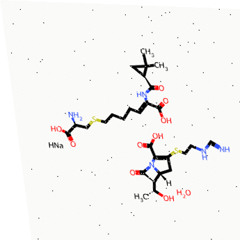 CC1(C)C[C@@H]1C(=O)N/C(=C\CCCCSC[C@H](N)C(=O)O)C(=O)O.C[C@@H](O)[C@H]1C(=O)N2C(C(=O)O)=C(SCCNC=N)C[C@H]12.O.[NaH]